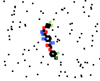 O=C(COc1ccc(Cl)c(F)c1)N[C@H]1CC[C@H](c2nnc(OC3CC(F)(F)C3)o2)NC1